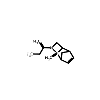 C=C(CC(F)(F)F)N1CC2C3C=CC(C3)P21=C